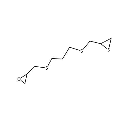 C(CSCC1CO1)CSCC1CS1